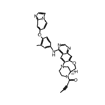 CC#CC(=O)N1CCN2C[C@H]1COc1cc3ncnc(Nc4ccc(Oc5ccn6ccnc6c5)c(C)c4)c3cc12